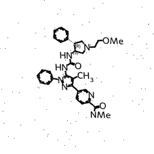 CNC(=O)c1ccc(-c2nn(-c3ccccc3)c(NC(=O)N[C@@H]3CN(CCOC)C[C@H]3c3ccccc3)c2C)cn1